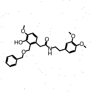 COc1ccc(CCNC(=O)Cc2ccc(OC)c(O)c2COCc2ccccc2)cc1OC